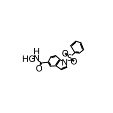 O=C(NO)c1ccc2c(ccn2S(=O)(=O)c2ccccc2)c1